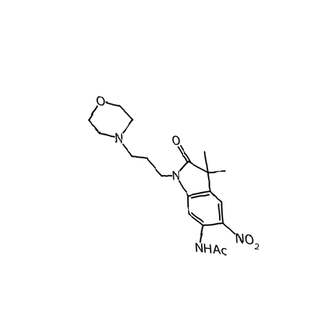 CC(=O)Nc1cc2c(cc1[N+](=O)[O-])C(C)(C)C(=O)N2CCCN1CCOCC1